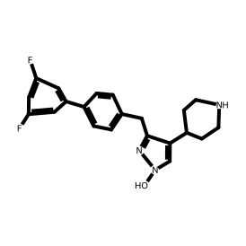 On1cc(C2CCNCC2)c(Cc2ccc(-c3cc(F)cc(F)c3)cc2)n1